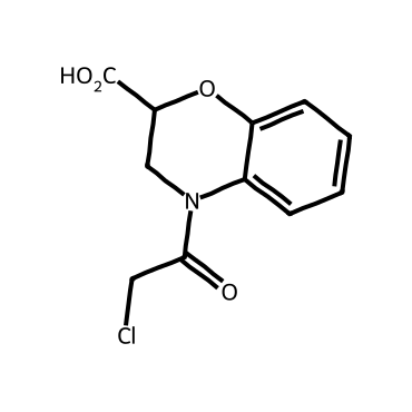 O=C(O)C1CN(C(=O)CCl)c2ccccc2O1